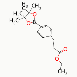 CCOC(=O)CCc1ccc(B2OC(C)(C)C(C)(C)O2)cc1